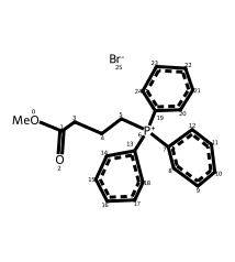 COC(=O)CCC[P+](c1ccccc1)(c1ccccc1)c1ccccc1.[Br-]